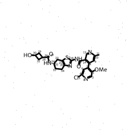 COc1cnc(Cl)cc1-c1cc(C)ncc1C(=O)Nc1nc2c(s1)C[C@@H](NC(=O)C1CC(O)C1)CC2